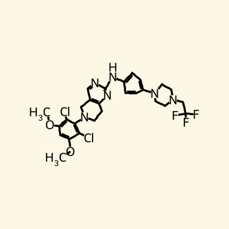 COc1cc(OC)c(Cl)c(N2CCc3nc(Nc4ccc(N5CCN(CC(F)(F)F)CC5)cc4)ncc3C2)c1Cl